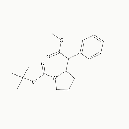 COC(=O)C(c1ccccc1)C1CCCN1C(=O)OC(C)(C)C